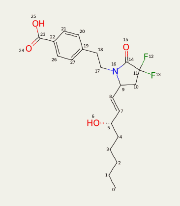 CCCCC[C@H](O)/C=C/C1CC(F)(F)C(=O)N1CCc1ccc(C(=O)O)cc1